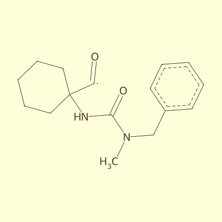 CN(Cc1ccccc1)C(=O)NC1([C]=O)CCCCC1